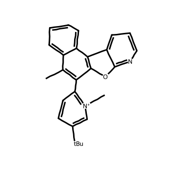 Cc1c(-c2ccc(C(C)(C)C)c[n+]2C)c2oc3ncccc3c2c2ccccc12